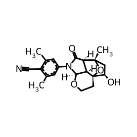 Cc1cc(N2C(=O)[C@@H]3[C@@H]4[C@H]2OCC[C@]42O[C@@]3(C)C[C@H]2O)cc(C)c1C#N